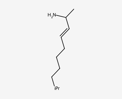 CC(N)/C=C/CCCCC(C)C